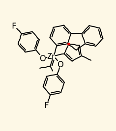 CC1=CC[C]([Zr]([O]c2ccc(F)cc2)([O]c2ccc(F)cc2)(=[C](C)C)[c]2cccc3c2Cc2ccccc2-3)=C1